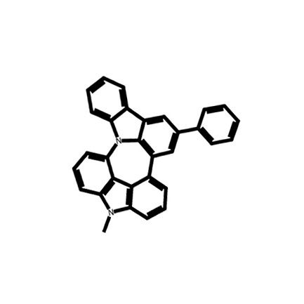 Cn1c2cccc3c4cc(-c5ccccc5)cc5c6ccccc6n(c6cccc1c6c32)c45